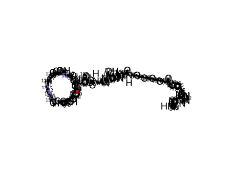 CO[C@H]1C[C@@H]2CC[C@@H](C)[C@@](O)(O2)C(=O)C(=O)N2CCCC[C@H]2C(=O)O[C@H]([C@H](N)C[C@@H]2CC[C@@H](OC(=O)NCc3cnc(N4CCN(c5ncc(C(=O)NCCOCCOCCOCCOCCC(=O)N6CCc7cc(Cn8nc(-c9cnc%10[nH]ccc%10c9)c9c(N)ncnc98)ccc7C6)cn5)CC4CO)nc3)[C@H](OC)C2)CC(=O)[C@H](C)/C=C(\C)[C@@H](O)[C@@H](O)C(=O)[C@H](C)C[C@H](C)/C=C/C=C/C=C/1C